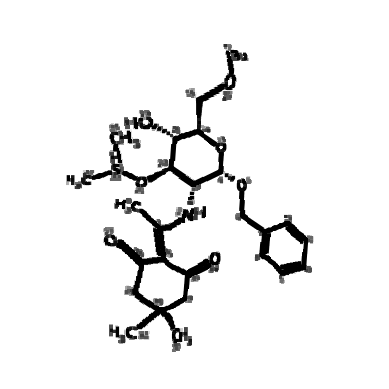 CC(N[C@H]1[C@@H](OCc2ccccc2)O[C@H](COC(C)(C)C)[C@@H](O)[C@@H]1O[SiH](C)C)=C1C(=O)CC(C)(C)CC1=O